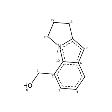 OCc1cccc2cc3n(c12)CCC3